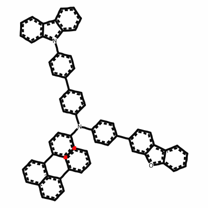 c1ccc(-c2cccc3cccc(-c4ccc(N(c5ccc(-c6ccc(-n7c8ccccc8c8ccccc87)cc6)cc5)c5ccc(-c6ccc7c(c6)oc6ccccc67)cc5)cc4)c23)cc1